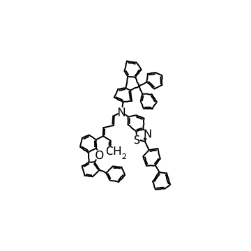 C=C/C(=C\C=C\N(c1ccc2c(c1)C(c1ccccc1)(c1ccccc1)c1ccccc1-2)c1ccc2nc(-c3ccc(-c4ccccc4)cc3)sc2c1)c1cccc2c1oc1c(-c3ccccc3)cccc12